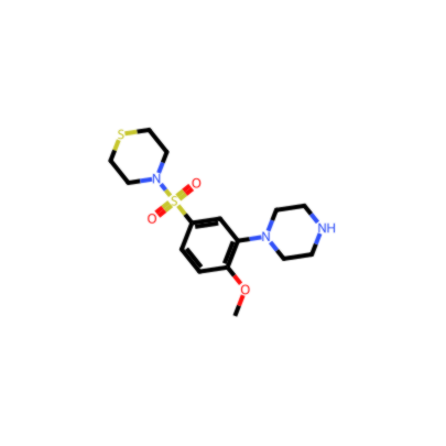 COc1ccc(S(=O)(=O)N2CCSCC2)cc1N1CCNCC1